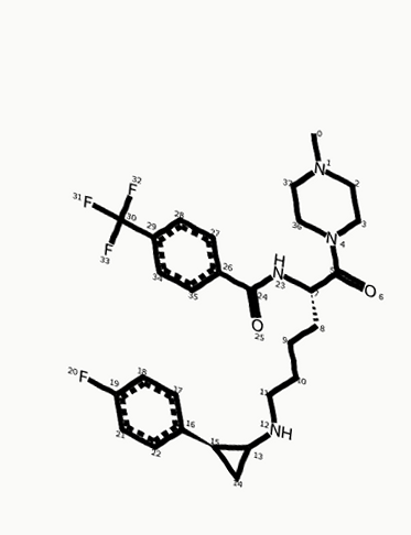 CN1CCN(C(=O)[C@H](CCCCNC2C[C@H]2c2ccc(F)cc2)NC(=O)c2ccc(C(F)(F)F)cc2)CC1